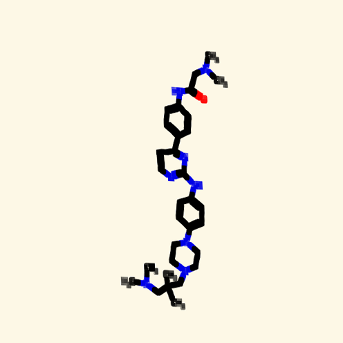 CN(C)CC(=O)Nc1ccc(-c2ccnc(Nc3ccc(N4CCN(CC(C)(C)CN(C)C)CC4)cc3)n2)cc1